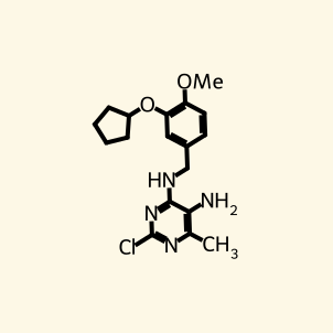 COc1ccc(CNc2nc(Cl)nc(C)c2N)cc1OC1CCCC1